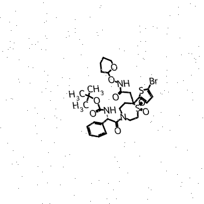 CC(C)(C)OC(=O)N[C@H](C(=O)N1CCC(CC(=O)NOC2CCCCO2)(c2ccc(Br)s2)S(=O)(=O)CC1)c1ccccc1